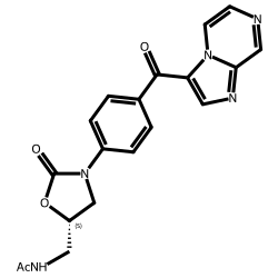 CC(=O)NC[C@H]1CN(c2ccc(C(=O)c3cnc4cnccn34)cc2)C(=O)O1